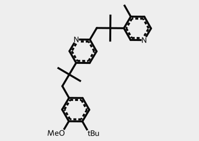 COc1cc(CC(C)(C)c2ccc(CC(C)(C)c3cnccc3C)nc2)ccc1C(C)(C)C